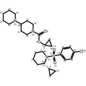 O=C(OC1([C@H]2CCC[C@@H](C3CC3)N2S(=O)(=O)c2ccc(Cl)cc2)CC1)N1CCC(N2CCCCC2)CC1